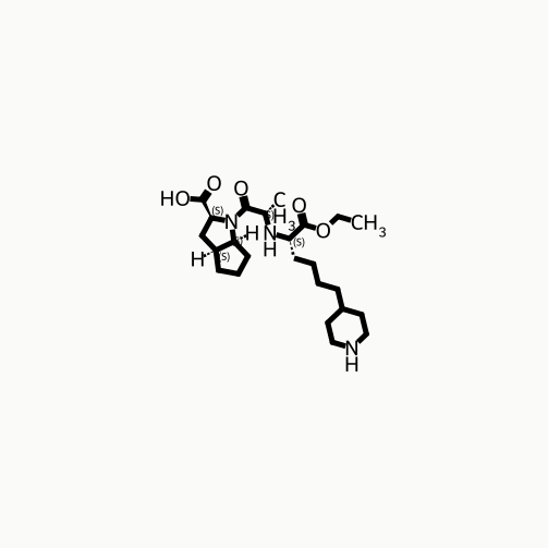 CCOC(=O)[C@H](CCCCC1CCNCC1)N[C@@H](C)C(=O)N1[C@H](C(=O)O)C[C@@H]2CCC[C@@H]21